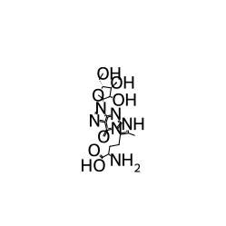 Cc1[nH]c2nc3c(ncn3[C@@H]3O[C@H](CO)[C@@H](O)[C@H]3O)c(=O)n2c1CCC(N)C(=O)O